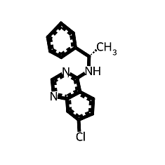 C[C@H](Nc1ncnc2cc(Cl)ccc12)c1ccccc1